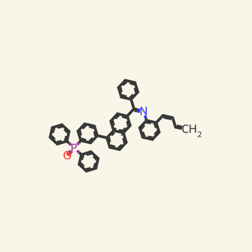 C=C/C=C\c1ccccc1/N=C(/c1ccccc1)c1ccc2c(-c3cccc(P(=O)(c4ccccc4)c4ccccc4)c3)cccc2c1